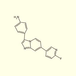 Nc1ccc(-c2cnc3cc(-c4ccc(F)nc4)ccn23)cc1